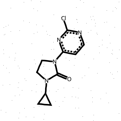 O=C1N(c2ccnc(Cl)n2)CCN1C1CC1